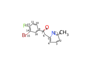 Cc1cccc(CC(=O)c2ccc(F)c(Br)c2)n1